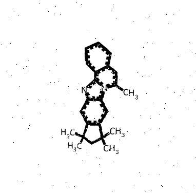 Cc1cc2ccccc2c2nc3cc4c(cc3n12)C(C)(C)CC4(C)C